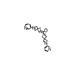 O=C(N1CC2(C1)CN(c1cccnc1)C2)N1CC2(C1)CN(c1cccnc1)C2